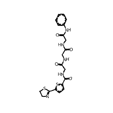 O=C(CNC(=O)CNC(=O)c1ccc(C2=NCCS2)s1)NCC(=O)Nc1ccccc1